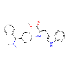 COC(=O)C(Cc1c[nH]c2ccccc12)NC1CCC(C(c2ccccc2)N(C)C)CC1